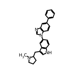 CN1CCCC1Cc1c[nH]c2ccc(-n3cnc4cc(-c5ccccc5)ccc43)cc12